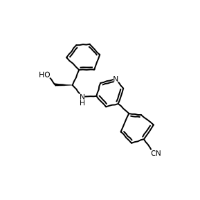 N#Cc1ccc(-c2cncc(N[C@@H](CO)c3ccccc3)c2)cc1